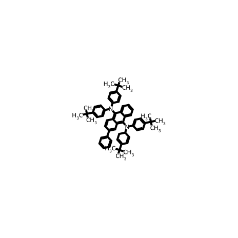 CC(C)(C)C1=CCC(N(c2ccc(C(C)(C)C)cc2)c2c3ccccc3c(N(c3ccc(C(C)(C)C)cc3)c3ccc(C(C)(C)C)cc3)c3ccc(-c4ccccc4)cc23)C=C1